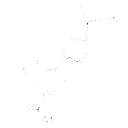 COC(=O)c1ccc(-c2ccc(C(=O)OC)c3oc(C)cc23)cc1